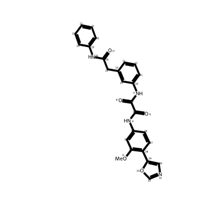 COc1cc(NC(=O)C(=O)Nc2cccc(CC(=O)Nc3ccccc3)c2)ccc1-c1cnco1